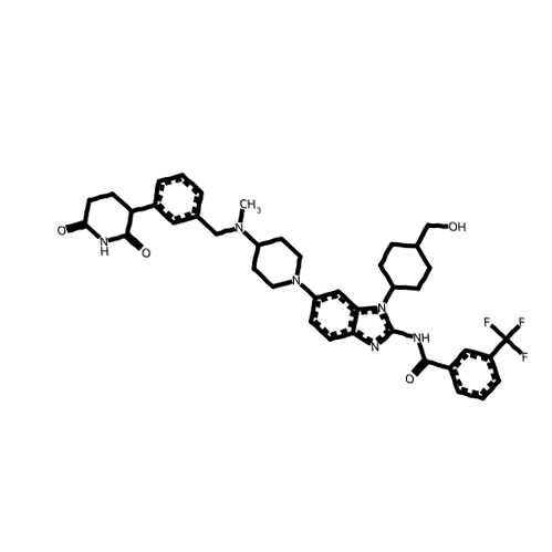 CN(Cc1cccc(C2CCC(=O)NC2=O)c1)C1CCN(c2ccc3nc(NC(=O)c4cccc(C(F)(F)F)c4)n(C4CCC(CO)CC4)c3c2)CC1